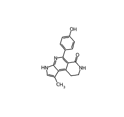 Cc1c[nH]c2nc(-c3ccc(O)cc3)c3c(c12)CCNC3=O